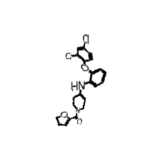 O=C(C1=CCCO1)N1CCC(Nc2ccccc2Oc2ccc(Cl)cc2Cl)CC1